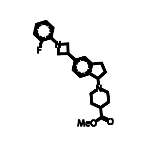 COC(=O)C1CCN(C2CCc3cc(C4CN(c5ccccc5F)C4)ccc32)CC1